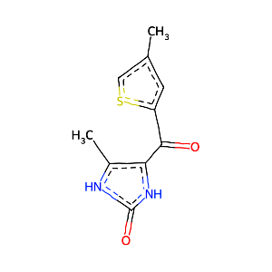 Cc1csc(C(=O)c2[nH]c(=O)[nH]c2C)c1